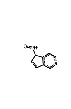 O=[PH]C1C=Cc2ccccc21